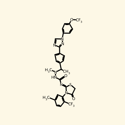 Cc1ccc(C(F)(F)F)c(N2C(=O)CSC2=NC(=O)NN(C)C(C)c2ccc(-c3ncn(-c4ccc(OC(F)(F)F)cc4)n3)cc2)c1